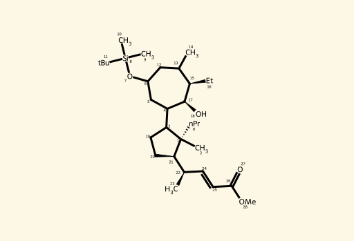 CCC[C@@]1(C)C(C2CC(O[Si](C)(C)C(C)(C)C)CC(C)[C@@H](CC)[C@H]2O)CC[C@@H]1[C@H](C)/C=C/C(=O)OC